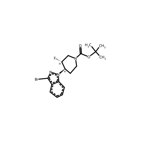 CC(C)(C)OC(=O)N1CC[C@@H](n2nc(Br)c3ccccc32)[C@H](F)C1